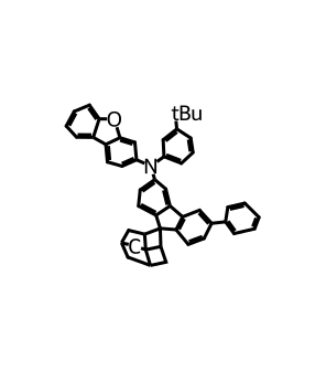 CC(C)(C)c1cccc(N(c2ccc3c(c2)-c2cc(-c4ccccc4)ccc2C32C3CC4CC5CC2C53C4)c2ccc3c(c2)oc2ccccc23)c1